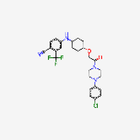 N#Cc1ccc(NC2CCC(OCC(=O)N3CCN(c4ccc(Cl)cc4)CC3)CC2)cc1C(F)(F)F